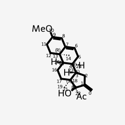 C=C1C[C@H]2[C@@H]3CC=C4C=C(OC)CC[C@]4(C)[C@H]3CC[C@]2(C)[C@@]1(O)C(C)=O